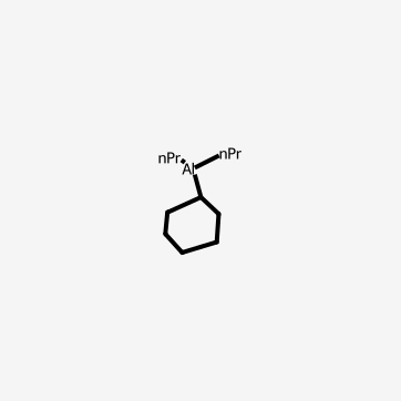 CC[CH2][Al]([CH2]CC)[CH]1CCCCC1